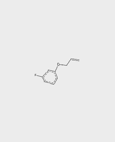 C=CCOc1cc[c]c(F)c1